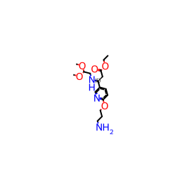 CCOC(=O)C[C@H](NCC(OC)OC)c1ccc(OCCCN)nc1